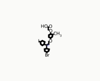 Cc1cc(OC/C=C(/c2ccc(Br)cc2)c2ccc(I)cc2)ccc1OCC(=O)O